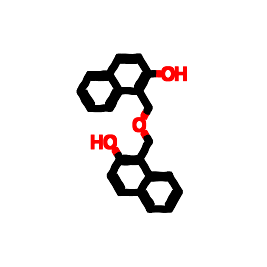 Oc1ccc2ccccc2c1COCc1c(O)ccc2ccccc12